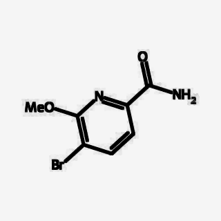 COc1nc(C(N)=O)ccc1Br